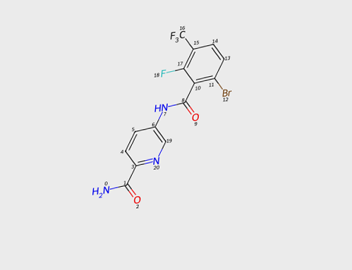 NC(=O)c1ccc(NC(=O)c2c(Br)ccc(C(F)(F)F)c2F)cn1